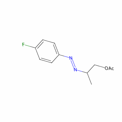 CC(=O)OCC(C)/N=N/c1ccc(F)cc1